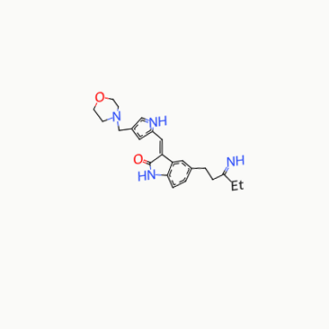 CCC(=N)CCc1ccc2c(c1)C(=Cc1cc(CN3CCOCC3)c[nH]1)C(=O)N2